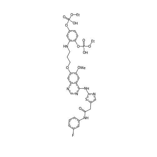 CCOP(=O)(O)Oc1ccc(OP(=O)(O)OCC)c(NCCCOc2cc3ncnc(Nc4ncc(CC(=O)Nc5cccc(F)c5)s4)c3cc2OC)c1